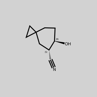 N#C[C@@H]1CC2(CC[C@H]1O)CC2